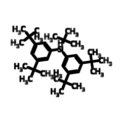 CC(C)(C)c1cc([SiH](c2cc(C(C)(C)C)cc(C(C)(C)C)c2)C(C)(C)C)cc(C(C)(C)C)c1